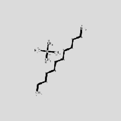 CCCCCCCCCCCN.C[N+](C)(C)C